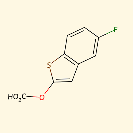 O=C(O)Oc1cc2cc(F)ccc2s1